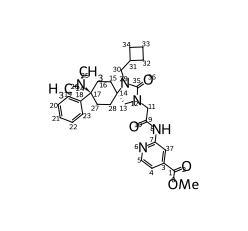 COC(=O)c1ccnc(NC(=O)CN2C[C@]3(CC[C@](c4ccccc4)(N(C)C)CC3)N(CC3CCC3)C2=O)c1